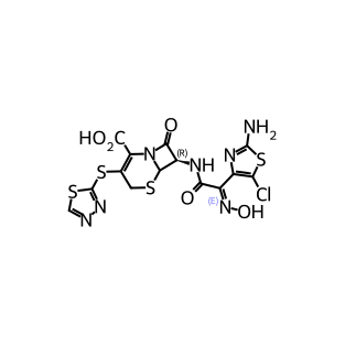 Nc1nc(/C(=N\O)C(=O)N[C@@H]2C(=O)N3C(C(=O)O)=C(Sc4nncs4)CSC23)c(Cl)s1